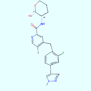 Cc1cnc(C(=O)N[C@H]2CCCO[C@H]2O)cc1Cc1ccc(-c2cnn(C)c2)cc1F